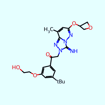 Cc1cc(OC2COC2)nn2c(=N)n(CC(=O)c3cc(OCCO)cc(C(C)(C)C)c3)nc12